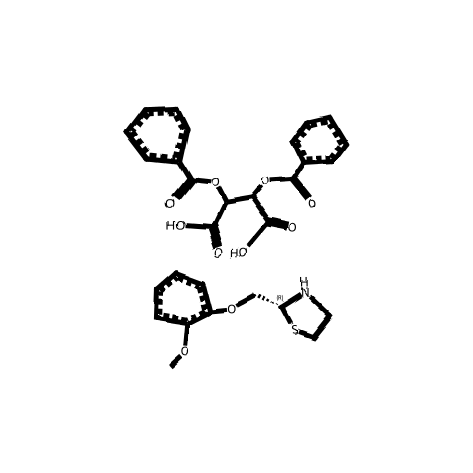 COc1ccccc1OC[C@@H]1NCCS1.O=C(OC(C(=O)O)C(OC(=O)c1ccccc1)C(=O)O)c1ccccc1